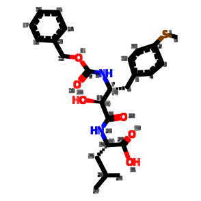 CSc1ccc(C[C@@H](NC(=O)OCc2ccccc2)[C@H](O)C(=O)N[C@@H](CC(C)C)C(=O)O)cc1